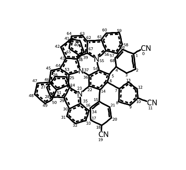 N#CC1=CCC(c2c(-c3ccc(C#N)cc3)c(C3=CCC(C#N)C=C3)c(-n3c4ccccc4c4ccccc43)c(-n3c4ccccc4c4cc5ccccc5cc43)c2-n2c3ccccc3c3ccccc32)C=C1